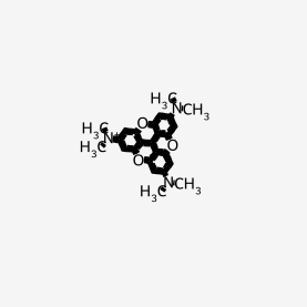 CN(C)c1cc2oc3cc(N(C)C)cc4oc5cc(=[N+](C)C)cc6oc(c1)c2c(c34)c65